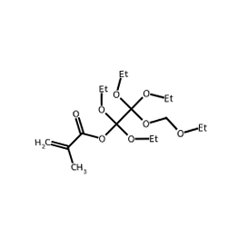 C=C(C)C(=O)OC(OCC)(OCC)C(OCC)(OCC)OCOCC